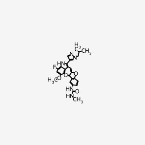 CNC(=O)Nc1ccc2c(c1)C(=O)C(=Cc1c(-c3cnn(CC(C)C)c3)[nH]c3c(F)cc(OC)cc13)O2